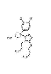 Br.CCCN=c1scc(C2(c3ccc(Cl)c(Cl)c3)CCC2)n1CCC